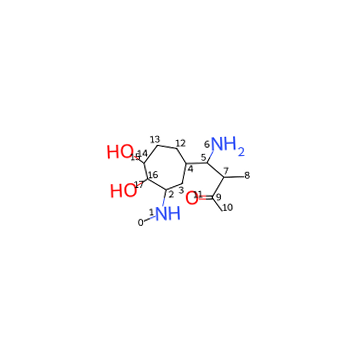 CNC1CC(C(N)C(C)C(C)=O)CCC(O)C1O